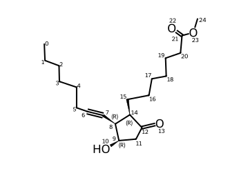 CCCCCCC#C[C@@H]1[C@H](O)CC(=O)[C@@H]1CCCCCCC(=O)OC